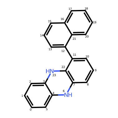 c1ccc2c(c1)Nc1cccc(-c3cccc4ccccc34)c1N2